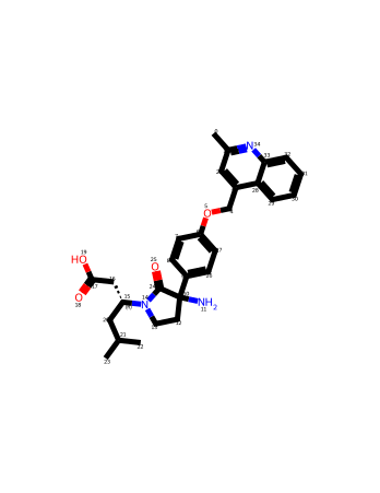 Cc1cc(COc2ccc(C3(N)CCN([C@@H](CC(=O)O)CC(C)C)C3=O)cc2)c2ccccc2n1